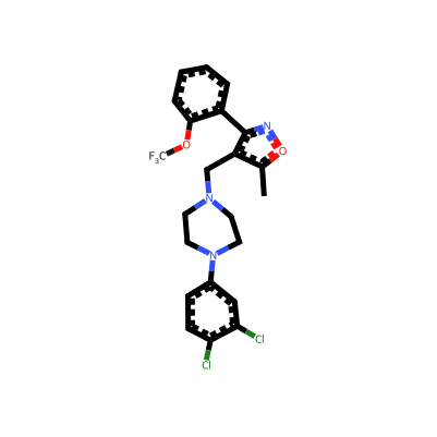 Cc1onc(-c2ccccc2OC(F)(F)F)c1CN1CCN(c2ccc(Cl)c(Cl)c2)CC1